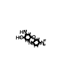 CN(C)c1ccc2nc3cc(O)c(=N)cc-3oc2c1